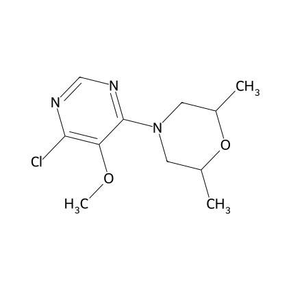 COc1c(Cl)ncnc1N1CC(C)OC(C)C1